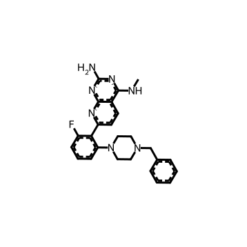 CNc1nc(N)nc2nc(-c3c(F)cccc3N3CCN(Cc4ccccc4)CC3)ccc12